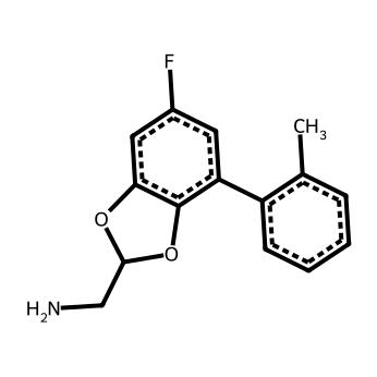 Cc1ccccc1-c1cc(F)cc2c1OC(CN)O2